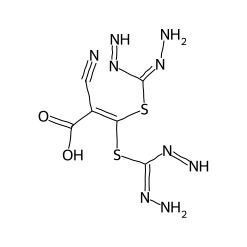 N#CC(C(=O)O)=C(SC(N=N)=NN)SC(N=N)=NN